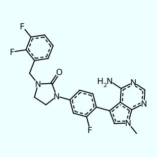 Cn1cc(-c2ccc(N3CCN(Cc4cccc(F)c4F)C3=O)cc2F)c2c(N)ncnc21